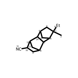 CCC1(C)CC2CC1C1C3CC(C#N)C(C3)C21